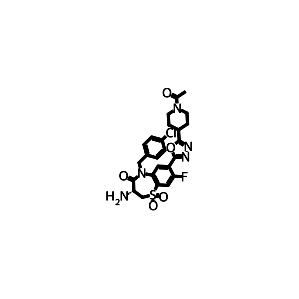 CC(=O)N1CCC(c2nnc(-c3cc4c(cc3F)S(=O)(=O)C[C@H](N)C(=O)N4Cc3ccc(Cl)cc3)o2)CC1